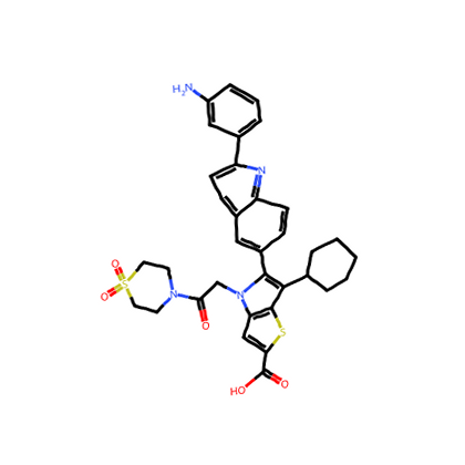 Nc1cccc(-c2ccc3cc(-c4c(C5CCCCC5)c5sc(C(=O)O)cc5n4CC(=O)N4CCS(=O)(=O)CC4)ccc3n2)c1